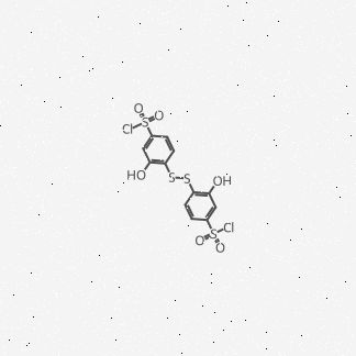 O=S(=O)(Cl)c1ccc(SSc2ccc(S(=O)(=O)Cl)cc2O)c(O)c1